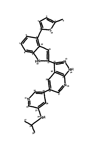 Cc1ccc(-c2cccc3[nH]c(-c4n[nH]c5ncc(-c6cncc(NC(C)C)c6)cc45)cc23)s1